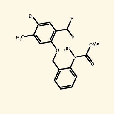 CCc1cc(C(F)F)c(OCc2ccccc2N(O)C(=O)OC)cc1C